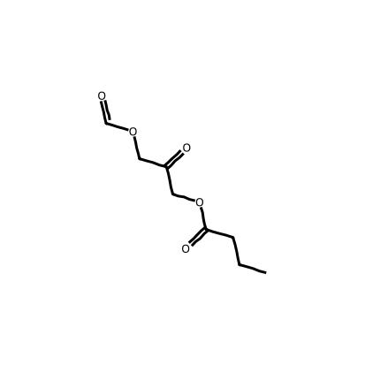 CCCC(=O)OCC(=O)COC=O